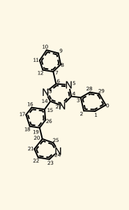 c1ccc(-c2nc(-c3ccccc3)nc(-c3cccc(-c4cccnc4)c3)n2)cc1